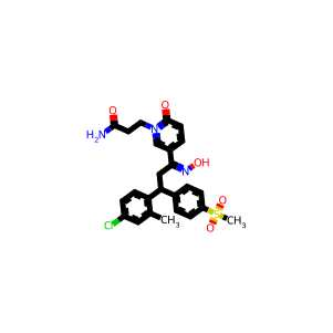 Cc1cc(Cl)ccc1C(CC(=NO)c1ccc(=O)n(CCC(N)=O)c1)c1ccc(S(C)(=O)=O)cc1